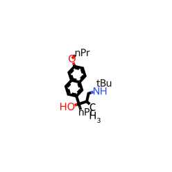 CCCOc1ccc2cc(C(O)(CCC)C(C)CNC(C)(C)C)ccc2c1